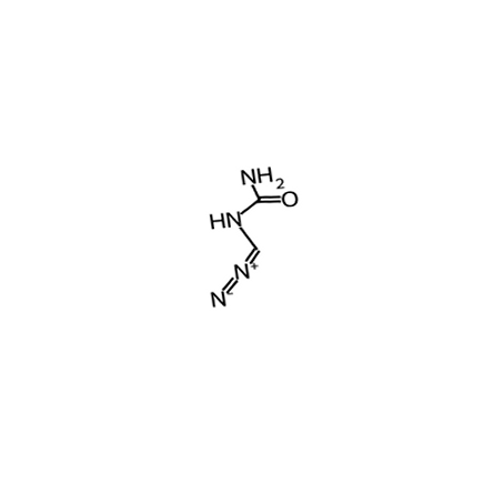 [N-]=[N+]=CNC(N)=O